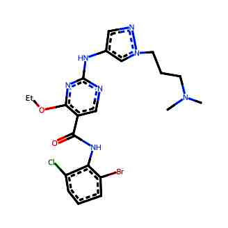 CCOc1nc(Nc2cnn(CCCN(C)C)c2)ncc1C(=O)Nc1c(Cl)cccc1Br